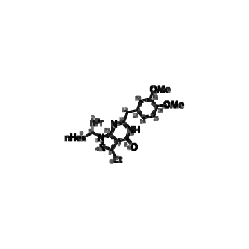 CCCCCCC(CCC)n1nc(CC)c2c(=O)[nH]c(Cc3ccc(OC)c(OC)c3)nc21